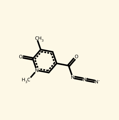 Cc1cc(C(=O)N=[N+]=[N-])cn(C)c1=O